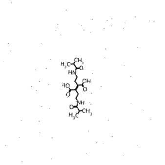 CC(C)C(=O)NCCC(C(=O)O)=C(CCNC(=O)C(C)C)C(=O)O